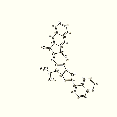 CC(C)n1c(C=C2C(=O)c3cc4ccccc4cc3C2=O)cc2oc(-c3cccc4ccccc34)cc21